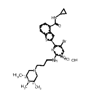 C[C@@H]1CN(CCCNc2ncc(Br)c(-c3cc4c(C(=O)NC5CC5)cccc4s3)n2)C[C@H](C)N1C.Cl.Cl.Cl